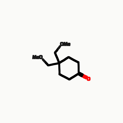 COCC1(COC)CCC(=O)CC1